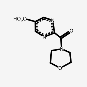 O=C(O)c1cnc(C(=O)N2CCOCC2)nc1